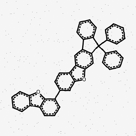 c1ccc(C2(c3ccccc3)c3ccccc3-c3cc4c(cc32)oc2cc(-c3cccc5c3oc3ccccc35)ccc24)cc1